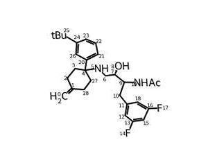 C=C1CCC(NC[C@@H](O)C(Cc2cc(F)cc(F)c2)NC(C)=O)(c2cccc(C(C)(C)C)c2)CC1